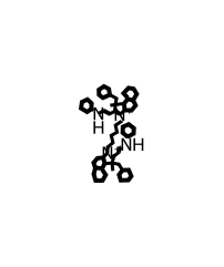 CC1(Cc2ccccc2)C(C=CNc2ccccc2)=[N+](CCCCCC[N+]2=C(C=CNc3ccccc3)C(C)(Cc3ccccc3)c3c2ccc2ccccc32)c2ccc3ccccc3c21